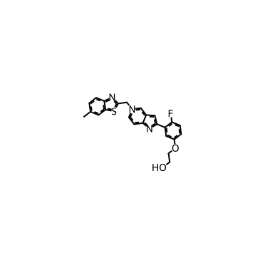 Cc1ccc2nc(Cn3ccc4nc(-c5cc(OCCO)ccc5F)cc-4c3)sc2c1